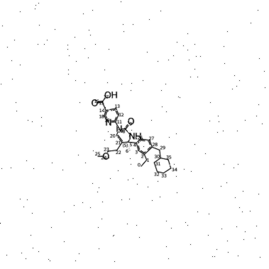 CCc1cc([C@]2(C)NC(=O)N(c3ccc(C(=O)O)cn3)C=C2CCOC)ccc1CC1CCCCC1